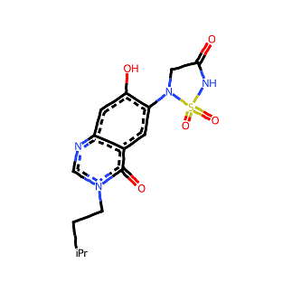 CC(C)CCn1cnc2cc(O)c(N3CC(=O)NS3(=O)=O)cc2c1=O